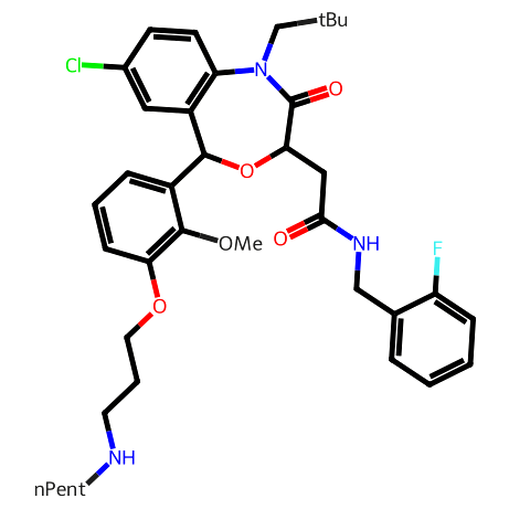 CCCCCNCCCOc1cccc(C2OC(CC(=O)NCc3ccccc3F)C(=O)N(CC(C)(C)C)c3ccc(Cl)cc32)c1OC